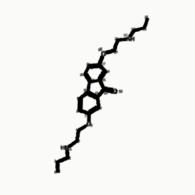 CCCNCCOc1ccc2c(c1)C(=O)c1cc(OCCNCCC)ccc1-2